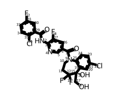 O=C(Nc1ncc(C(=O)N2CCC(F)(F)[C@](O)(CO)c3cc(Cl)ccc32)cc1F)c1cc(F)ccc1Cl